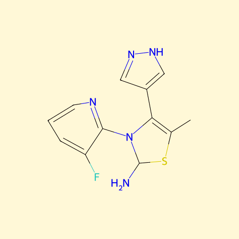 CC1=C(c2cn[nH]c2)N(c2ncccc2F)C(N)S1